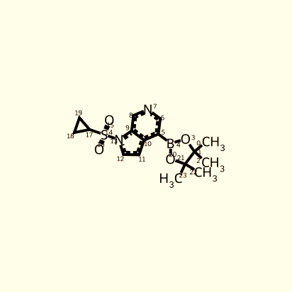 CC1(C)OB(c2cncc3c2ccn3S(=O)(=O)C2CC2)OC1(C)C